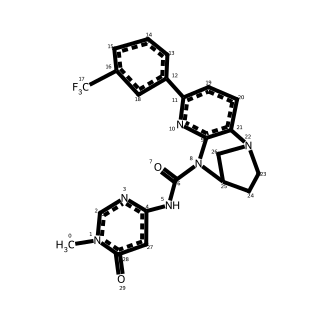 Cn1cnc(NC(=O)N2c3nc(-c4cccc(C(F)(F)F)c4)ccc3N3CCC2C3)cc1=O